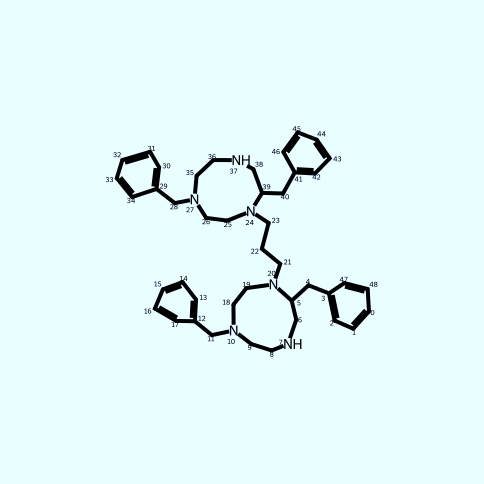 c1ccc(CC2CNCCN(Cc3ccccc3)CCN2CCCN2CCN(Cc3ccccc3)CCNCC2Cc2ccccc2)cc1